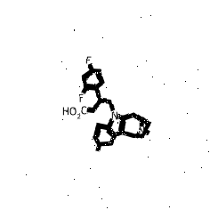 Cc1ccc2c(c1)c1c(n2CC(CC(=O)O)c2ccc(F)cc2F)CC2CCC1N2C